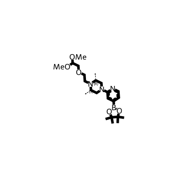 COC(COCCN1[C@H](C)CN(c2cc(B3OC(C)(C)C(C)(C)O3)ccn2)C[C@@H]1C)OC